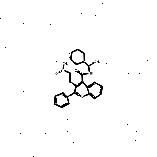 CC(NC(=O)c1c(CC[S+](C)[O-])c(-c2ccccc2)nc2ccccc12)C1CCCCC1